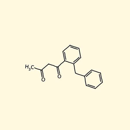 CC(=O)CC(=O)c1ccccc1Cc1ccccc1